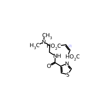 CN(C)CCNC(=O)c1cscn1.O=C(O)/C=C\C(=O)O